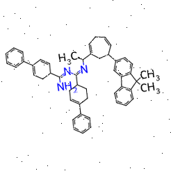 C[C@H](/N=C(\N=C(/N)C1C=CC(c2ccccc2)=CC1)C1CC=C(c2ccccc2)CC1)C1=CCC=CC(c2ccc3c(c2)-c2ccccc2C3(C)C)C1